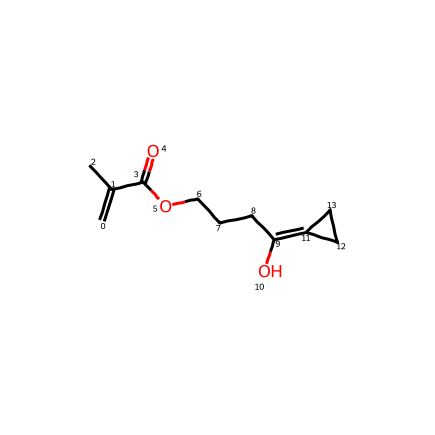 C=C(C)C(=O)OCCCC(O)=C1CC1